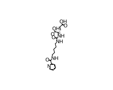 O=C(O)CC[C@H](NC(=O)NCCCCCNC(=O)c1ccccn1)C(=O)O